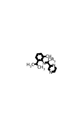 CC(=Nc1c(C)cccc1C(C)C)c1cnccn1